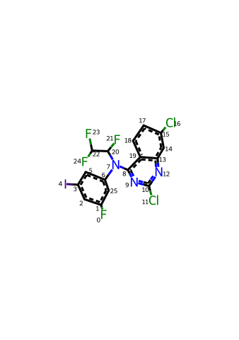 Fc1cc(I)cc(N(c2nc(Cl)nc3cc(Cl)ccc23)C(F)C(F)F)c1